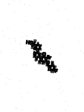 Cc1cnc(-c2cccc(C(C)(C)O)n2)cc1-n1c(C)cc(OCc2ncc(F)cc2C)c(Br)c1=O